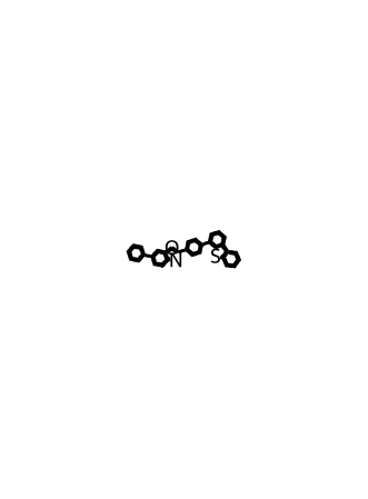 c1ccc(-c2ccc3nc(-c4ccc(-c5cccc6c5sc5ccccc56)cc4)oc3c2)cc1